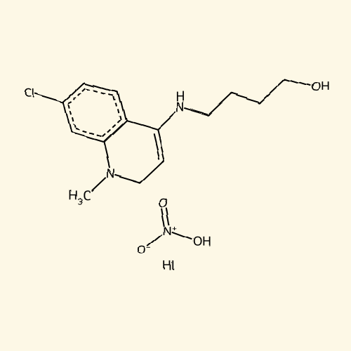 CN1CC=C(NCCCCO)c2ccc(Cl)cc21.I.O=[N+]([O-])O